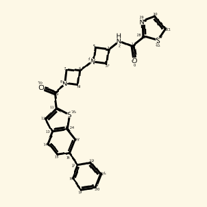 O=C(NC1CN(C2CN(C(=O)c3cc4ccc(-c5ccccc5)cc4s3)C2)C1)c1nccs1